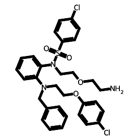 NCCOCCN(c1ccccc1N(CCOc1ccc(Cl)cc1)Cc1ccccc1)S(=O)(=O)c1ccc(Cl)cc1